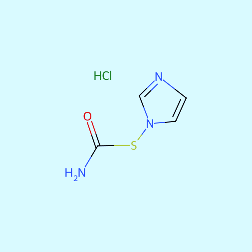 Cl.NC(=O)Sn1ccnc1